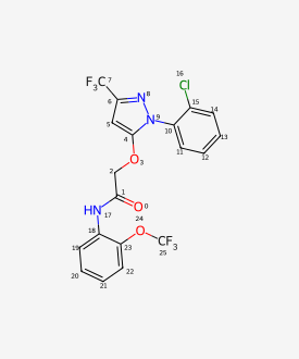 O=C(COc1cc(C(F)(F)F)nn1-c1ccccc1Cl)Nc1ccccc1OC(F)(F)F